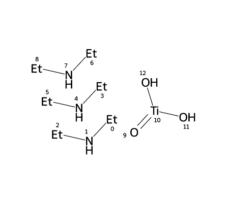 CCNCC.CCNCC.CCNCC.[O]=[Ti]([OH])[OH]